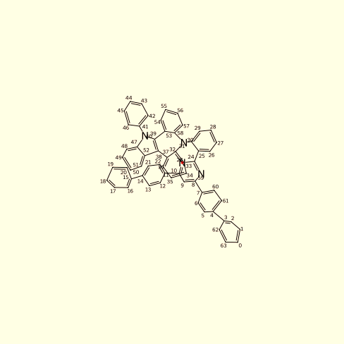 c1ccc(-c2ccc(-c3cc(-c4ccc(-c5ccccc5)cc4)nc(-c4ccccc4N4c5ccccc5-c5c(n(-c6ccccc6)c6ccccc56)-c5ccccc54)n3)cc2)cc1